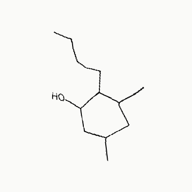 CCCCC1C(C)CC(C)CC1O